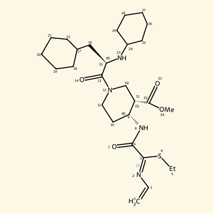 C=C/N=C(\SCC)C(=O)N[C@@H]1CCN(C(=O)[C@@H](CC2CCCCC2)NC2CCCCC2)C[C@@H]1C(=O)OC